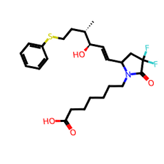 C[C@@H](CCSc1ccccc1)[C@H](O)C=CC1CC(F)(F)C(=O)N1CCCCCCC(=O)O